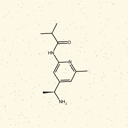 Cc1cc([C@H](C)N)cc(NC(=O)C(C)C)n1